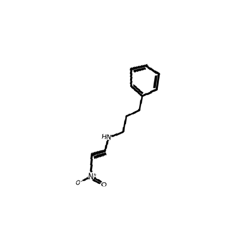 O=[N+]([O-])C=CNCCCc1ccccc1